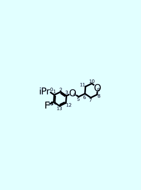 CC(C)c1cc(OCC2CCOCC2)ccc1F